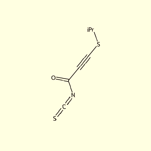 CC(C)SC#CC(=O)N=C=S